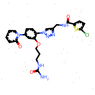 NC(=O)NCCCOc1cc(-n2ccccc2=O)ccc1-n1cc(CNC(=O)c2ccc(Cl)s2)nn1